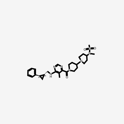 Cc1c(NC[C@@H]2C[C@H]2c2ccccc2)ncnc1C(=O)N1CCC(N2CCC(N(C)S(C)(=O)=O)CC2)CC1